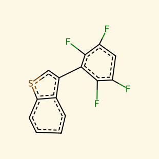 Fc1cc(F)c(F)c(-c2csc3ccccc23)c1F